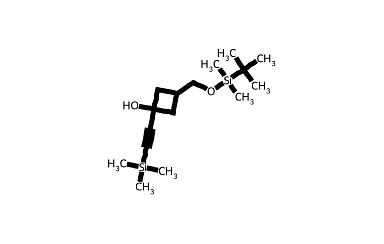 CC(C)(C)[Si](C)(C)OCC1CC(O)(C#C[Si](C)(C)C)C1